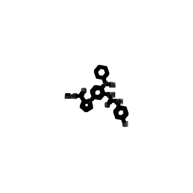 CCN(c1ccc(-n2cccc2C(=O)OC)cc1NC(=O)Nc1ccc(Cl)cc1)C1CCCCC1